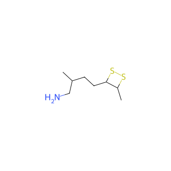 CC(CN)CCC1SSC1C